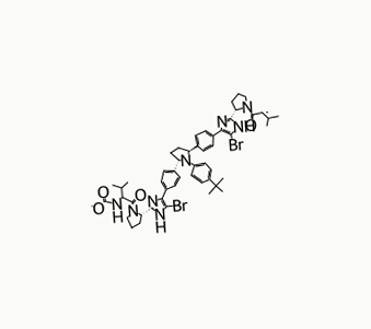 COC(=O)N[C@H](C(=O)N1CCC[C@H]1c1nc(-c2ccc([C@@H]3CC[C@@H](c4ccc(-c5nc([C@@H]6CCCN6C(=O)[CH]C(C)C)[nH]c5Br)cc4)N3c3ccc(C(C)(C)C)cc3)cc2)c(Br)[nH]1)C(C)C